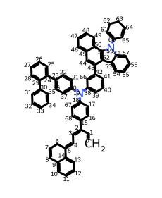 C=C/C(=C\C=C1/CC=Cc2ccccc21)c1ccc(N(c2ccc(-c3ccccc3-c3ccccc3)cc2)c2cccc(-c3cc4ccccc4c4c3c3ccccc3n4C3=CCCC=C3)c2)cc1